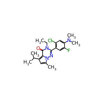 CCn1c(-c2cc(F)c(N(C)C)cc2Cl)nn2c(C)cc(C(C)C)c2c1=O